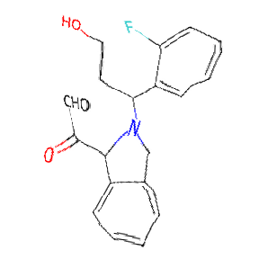 O=CC(=O)C1c2ccccc2CN1C(CCO)c1ccccc1F